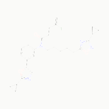 C=C(F)CCC(=O)N(CCCCCc1nc(C2CC2)no1)c1cccc(-c2cnc(C3CC3)o2)c1